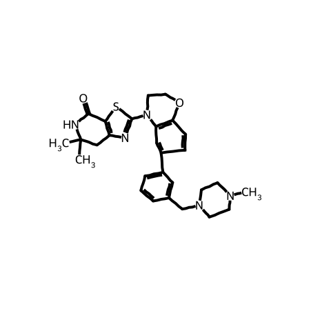 CN1CCN(Cc2cccc(-c3ccc4c(c3)N(c3nc5c(s3)C(=O)NC(C)(C)C5)CCO4)c2)CC1